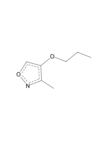 CCCOc1conc1C